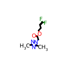 Cc1nc(C)n(CC(=O)OCCC=C(F)F)n1